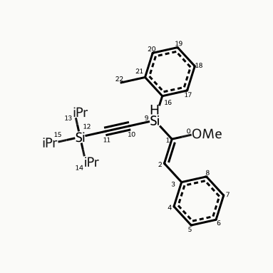 COC(=Cc1ccccc1)[SiH](C#C[Si](C(C)C)(C(C)C)C(C)C)c1ccccc1C